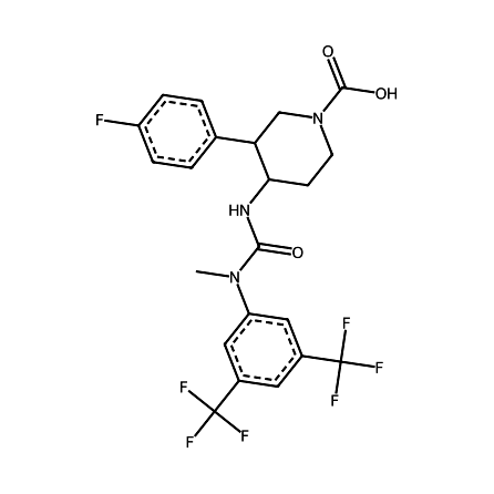 CN(C(=O)NC1CCN(C(=O)O)CC1c1ccc(F)cc1)c1cc(C(F)(F)F)cc(C(F)(F)F)c1